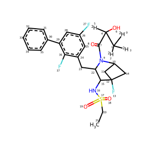 [2H]C([2H])([2H])C([2H])(O)C(=O)N1C2CC(F)(C2)C(NS(=O)(=O)CC)C1Cc1cc(F)cc(-c2ccccc2)c1F